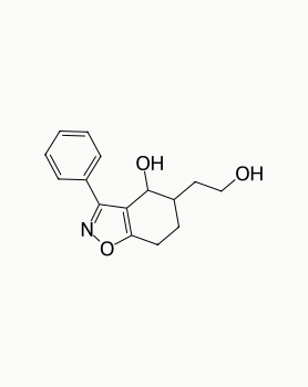 OCCC1CCc2onc(-c3ccccc3)c2C1O